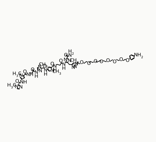 Cn1cc(NC(=O)c2nccn2C)cc1C(=O)NCCC(=O)Nc1cn(C)c(C(=O)Nc2cc(C(=O)NCCC(=O)Nc3nc(C(N)=O)n(C)c3Cc3cn(CCOCCOCCOCCOCCOCCOCCOCCOc4ccc(N)cc4)nn3)n(C)c2)n1